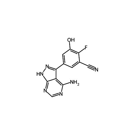 N#Cc1cc(-c2n[nH]c3ncnc(N)c23)cc(O)c1F